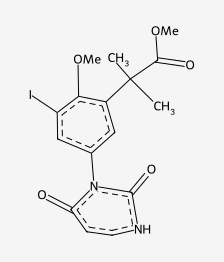 COC(=O)C(C)(C)c1cc(-n2c(=O)cc[nH]c2=O)cc(I)c1OC